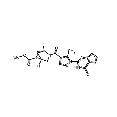 Cc1c(C(=O)N2C[C@H]3C[C@@H]2CN3C(=O)OC(C)(C)C)cnn1-c1nn2cccc2c(=O)[nH]1